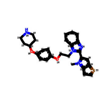 Cn1c(-c2nc3ccccc3n2CCOc2ccc(OC3CCNCC3)cc2)cc2sccc21